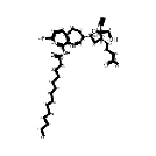 C#C[C@]1(CO)O[C@@H](C2C=NC3=C(C=C=C(F)N=C3NC(=O)CCCCCCCCCCCCC)CC2)C[C@@H]1CCCC(C)=O